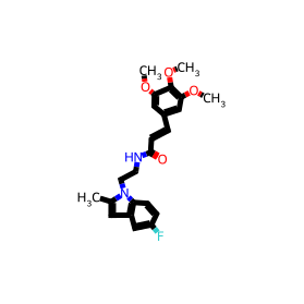 COc1cc(C=CC(=O)NCCn2c(C)cc3cc(F)ccc32)cc(OC)c1OC